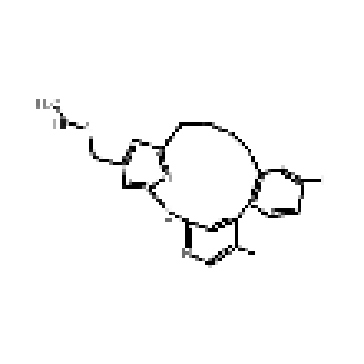 CPSCc1cc2nc(c1)Nc1cc(c(F)cn1)-c1ccc(F)cc1CCCC2